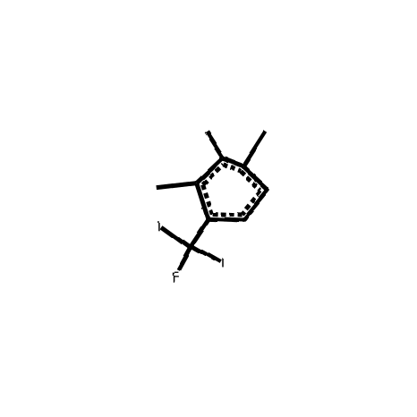 Cc1ccc(C(F)(I)I)c(C)c1C